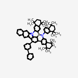 CC1(C)CCC(C)(C)c2cc(N3B4c5cc6c(cc5-n5c7cc8ccccc8cc7c7c(-c8cccc(-c9ccccc9)c8)cc(c4c75)-c4cc5c(cc43)C(C)(C)CCC5(C)C)C(C)(C)CCC6(C)C)ccc21